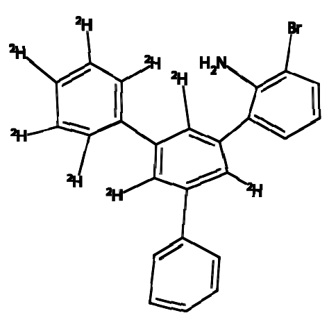 [2H]c1c([2H])c([2H])c(-c2c([2H])c(-c3ccccc3)c([2H])c(-c3cccc(Br)c3N)c2[2H])c([2H])c1[2H]